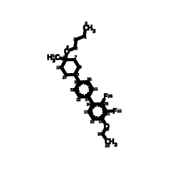 CCCCOC1(C)CCC(c2ccc(-c3ccc(OCC)c(F)c3F)cc2)CC1